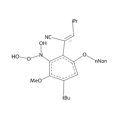 CCCCCCCCCOc1cc(C(C)(C)C)c(OC)c(N(O)OO)c1/C(C#N)=C/C(C)C